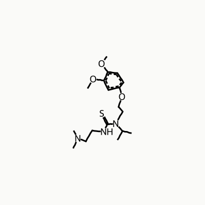 COc1ccc(OCCN(C(=S)NCCN(C)C)C(C)C)cc1OC